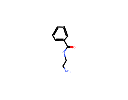 NCC[N]C(=O)c1ccccc1